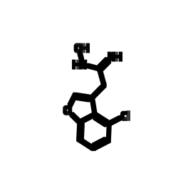 N=C(Cc1coc2cccc(Cl)c12)NO